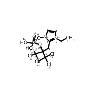 CC[n+]1ccn(C)c1CC(OP(=O)(O)O)(C(Cl)(Cl)Cl)C(Cl)(Cl)Cl